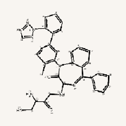 Cc1ccc(-c2ccccc2-n2ncnn2)cc1N1C(=O)C(NCC(=O)C(N)CS)N=C(c2ccccc2)c2ccccc21